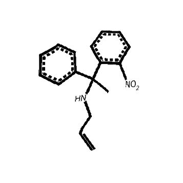 C=CCNC(C)(c1ccccc1)c1ccccc1[N+](=O)[O-]